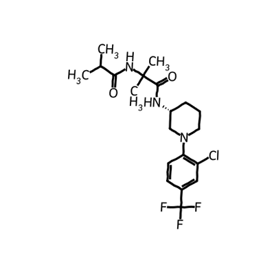 CC(C)C(=O)NC(C)(C)C(=O)N[C@@H]1CCCN(c2ccc(C(F)(F)F)cc2Cl)C1